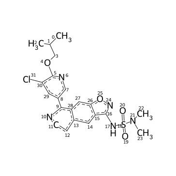 CC(C)COc1ncc(-c2nccc3cc4c(NS(=O)(=O)N(C)C)noc4cc23)cc1Cl